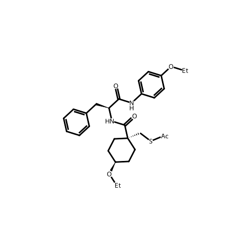 CCOc1ccc(NC(=O)[C@H](Cc2ccccc2)NC(=O)[C@]2(CSC(C)=O)CC[C@H](OCC)CC2)cc1